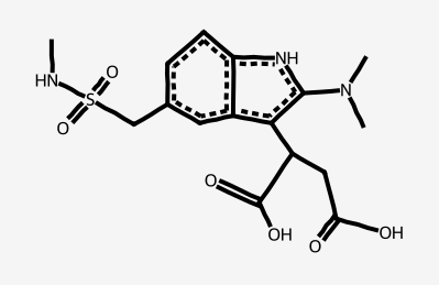 CNS(=O)(=O)Cc1ccc2[nH]c(N(C)C)c(C(CC(=O)O)C(=O)O)c2c1